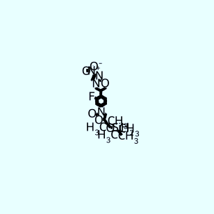 CC(C)(C)[SiH2]OC(C)(C)C1CN(c2ccc(C3COc4nc([N+](=O)[O-])cn4C3)c(F)c2)C(=O)O1